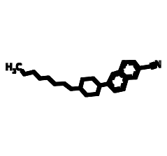 CCCCCCCCC1CCC(c2ccc3cc(C#N)ccc3c2)CC1